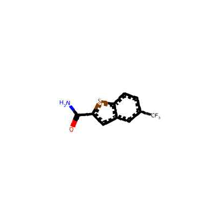 NC(=O)c1cc2cc(C(F)(F)F)ccc2s1